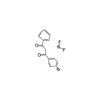 F[B]F.O=C(CC(=O)c1ccc(Br)cc1)c1ccccc1